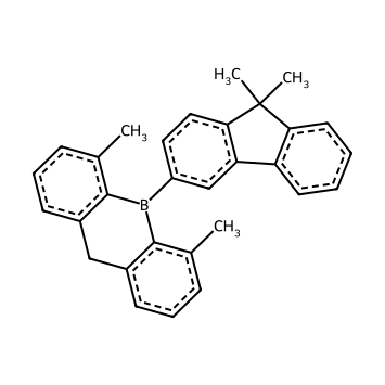 Cc1cccc2c1B(c1ccc3c(c1)-c1ccccc1C3(C)C)c1c(C)cccc1C2